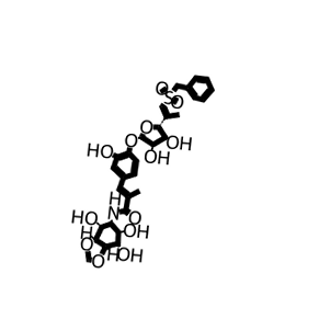 CC(=Cc1ccc(O[C@@H]2O[C@H](C(C)=CS(=O)(=O)Cc3ccccc3)[C@@H](O)[C@@H]2O)c(O)c1)C(=O)N[C@@H]1[C@H](O)[C@@H](O)[C@H]2OCO[C@H]2[C@@H]1O